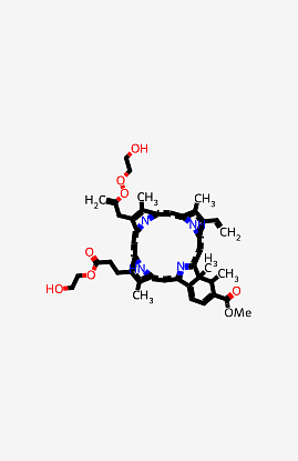 C=Cc1c(C)c2cc3nc(cc4[nH]c(cc5nc(cc1[nH]2)C1(C)C5=CC=C(C(=O)OC)C1C)c(C)c4CCC(=O)OCCO)C(CC(=C)OOCCO)=C3C